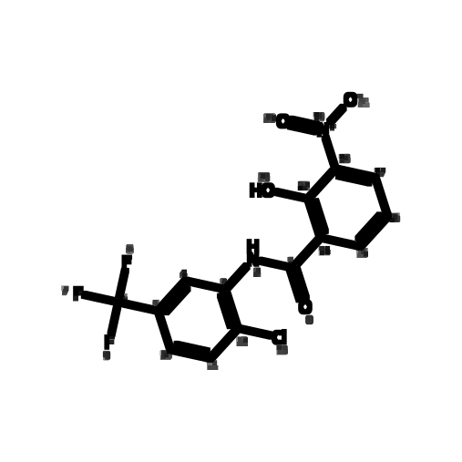 O=C(Nc1cc(C(F)(F)F)ccc1Cl)c1cccc([N+](=O)[O-])c1O